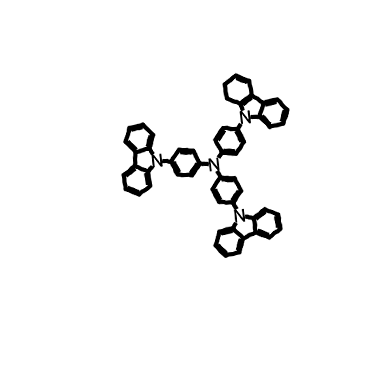 C1=Cc2c(n(-c3ccc(N(c4ccc(-n5c6ccccc6c6ccccc65)cc4)c4ccc(-n5c6ccccc6c6ccccc65)cc4)cc3)c3ccccc23)CC1